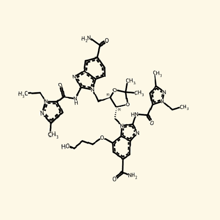 CCn1nc(C)cc1C(=O)Nc1nc2cc(C(N)=O)ccc2n1C[C@H]1OC(C)(C)O[C@@H]1Cn1c(NC(=O)c2cc(C)nn2CC)nc2cc(C(N)=O)cc(OCCCO)c21